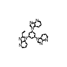 C=Cc1nc2ncccc2n1-c1cc(-n2cnc3ncccc32)cc(-n2cnc3ncccc32)c1